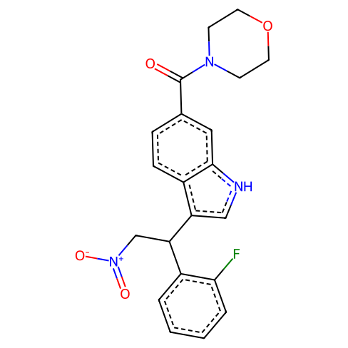 O=C(c1ccc2c(C(C[N+](=O)[O-])c3ccccc3F)c[nH]c2c1)N1CCOCC1